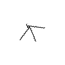 [CH2]Cc1cc(CCCCCCCCCCCCC)c(CCCCCCCCCCCCC)c(CCCCCCCCCCCCC)c1